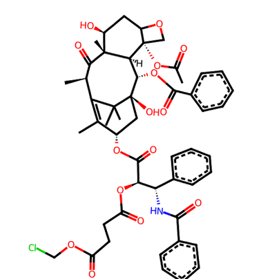 CC(=O)O[C@@]12COC1C[C@H](O)[C@@]1(C)C(=O)[C@H](C)C3=C(C)[C@@H](OC(=O)[C@H](OC(=O)CCC(=O)OCCl)[C@@H](NC(=O)c4ccccc4)c4ccccc4)C[C@@](O)([C@@H](OC(=O)c4ccccc4)[C@@H]12)C3(C)C